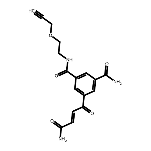 C#CCOCCNC(=O)c1cc(C(N)=O)cc(C(=O)/C=C/C(N)=O)c1